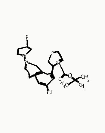 CC(C)(C)OC(=O)N1CCOCC1c1cc(Cl)cc2c1CN(N1CCC(F)C1)CC2